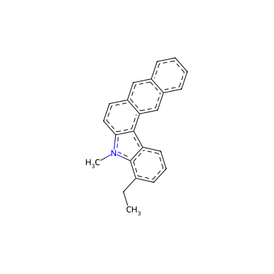 CCc1cccc2c3c4cc5ccccc5cc4ccc3n(C)c12